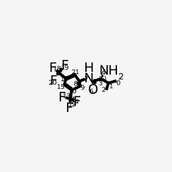 CC(C)[C@H](N)C(=O)Nc1cc(C(F)(F)F)cc(C(F)(F)F)c1